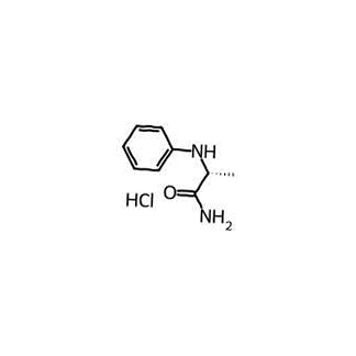 C[C@@H](Nc1ccccc1)C(N)=O.Cl